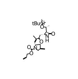 C=CCOC(=O)N1CC(=C)C[C@H]1C=C(C)C(=O)C[C@H]1NC(=O)[C@@H]1[C@@H](C)O[Si](C)(C)C(C)(C)C